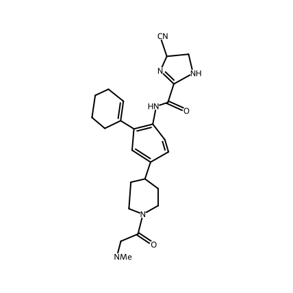 CNCC(=O)N1CCC(c2ccc(NC(=O)C3=NC(C#N)CN3)c(C3=CCCCC3)c2)CC1